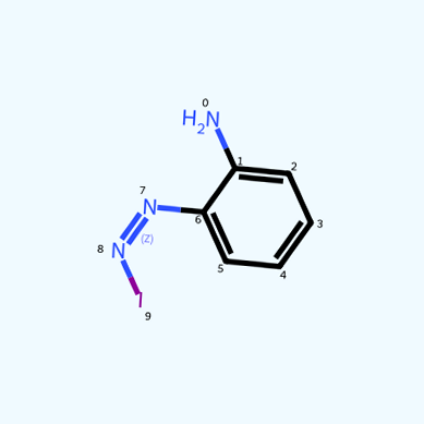 Nc1ccccc1/N=N\I